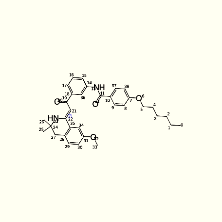 CCCCCCOc1ccc(C(=O)Nc2cccc(C(=O)/C=C3\NC(C)(C)Cc4ccc(OC)cc43)c2)cc1